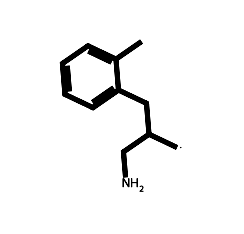 [CH2]C(CN)Cc1ccccc1C